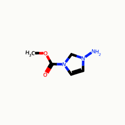 COC(=O)N1C=CN(N)C1